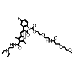 CCN(CC)CCNC(=O)c1c(C)[nH]c(/C=C2\C(=O)N(C(=O)OCCOCCNC(=O)CCOCCOC)c3ccc(F)cc32)c1C